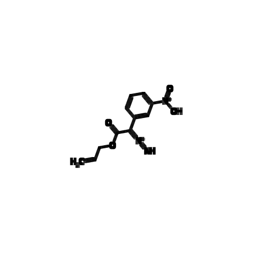 C=CCOC(=O)C(=[N+]=N)c1cccc([N+](=O)O)c1